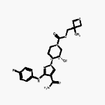 CC1(COC(=O)N2CC[C@H](n3cc(C(N)=O)c(Nc4ccc(F)cc4)n3)[C@@H](C#N)C2)COC1